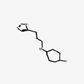 CCC1CCC(NCCCc2cnn[nH]2)CC1